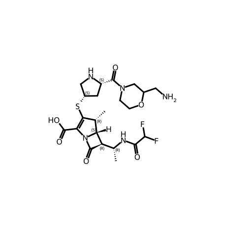 C[C@@H](NC(=O)C(F)F)[C@H]1C(=O)N2C(C(=O)O)=C(S[C@@H]3CN[C@H](C(=O)N4CCOC(CN)C4)C3)[C@H](C)[C@H]12